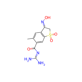 Cc1cc2c(cc1C(=O)N=C(N)N)S(=O)(=O)CC2=NO